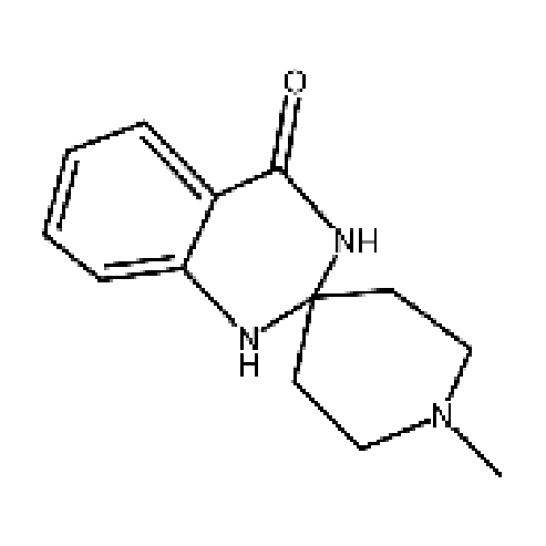 CN1CCC2(CC1)NC(=O)c1ccccc1N2